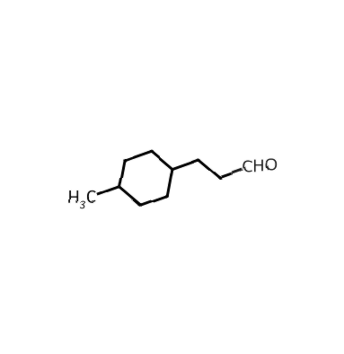 CC1CCC(CCC=O)CC1